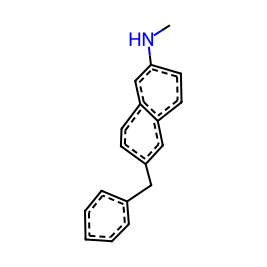 CNc1ccc2cc(Cc3ccccc3)ccc2c1